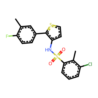 Cc1cc(-c2sccc2NS(=O)(=O)c2cccc(Cl)c2C)ccc1F